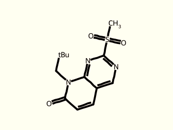 CC(C)(C)Cn1c(=O)ccc2cnc(S(C)(=O)=O)nc21